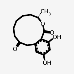 C[C@H]1CCCCCC(=O)Cc2cc(O)cc(O)c2C(=O)O1